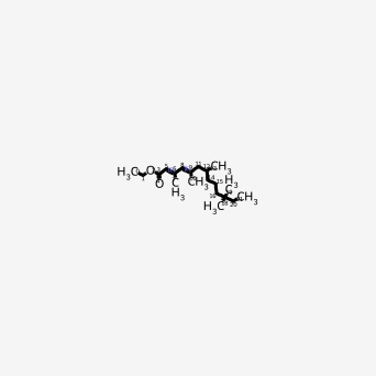 CCOC(=O)/C=C(C)/C=C(\C)CC(C)CCCC(C)(C)CC